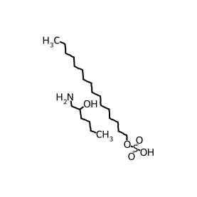 CCCCC(O)CN.CCCCCCCCCCCCCCCCOS(=O)(=O)O